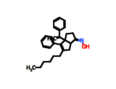 C=C(c1ccccc1)C12CCC(=NO)C1CC(CCCCCC)=C2c1ccccc1